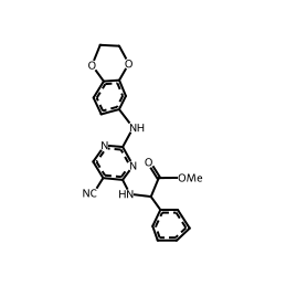 COC(=O)C(Nc1nc(Nc2ccc3c(c2)OCCO3)ncc1C#N)c1ccccc1